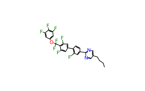 CCCCc1cnc(-c2ccc(-c3cc(F)c(C(F)(F)Oc4cc(F)c(F)c(F)c4)c(F)c3)c(F)c2)nc1